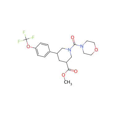 COC(=O)C1CC(c2ccc(OC(F)(F)F)cc2)CN(C(=O)N2CCOCC2)C1